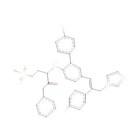 CS(=O)(=O)CCC(Nc1ccc(/C=C(/Cn2ccnc2)c2ccc(F)cc2)cc1-c1ccc(F)cc1)C(=O)Cc1ccccc1